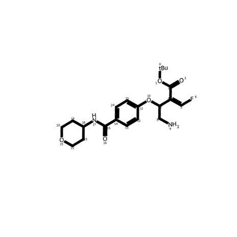 CC(C)(C)OC(=O)C(=CF)C(CN)Oc1ccc(C(=O)NC2CCOCC2)cc1